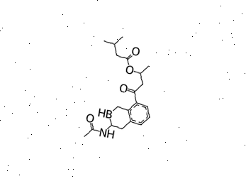 CC(=O)NC1BCc2c(cccc2C(=O)CC(C)OC(=O)CC(C)C)C1